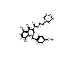 COc1ccc(Cn2cc(C(=O)NCCN3CCOCC3)c(=O)c3c(F)ccc(F)c32)cc1